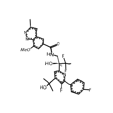 COc1cc(C(=O)NC[C@@](O)(c2cc(C(C)(C)O)c(F)c(-c3ccc(F)cc3)n2)C(C)(F)F)cc2cc(C)nnc12